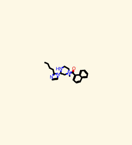 CCCCc1nccn1[C@@H]1C[N+](C)(C(=O)c2cccc3ccccc23)CCN1